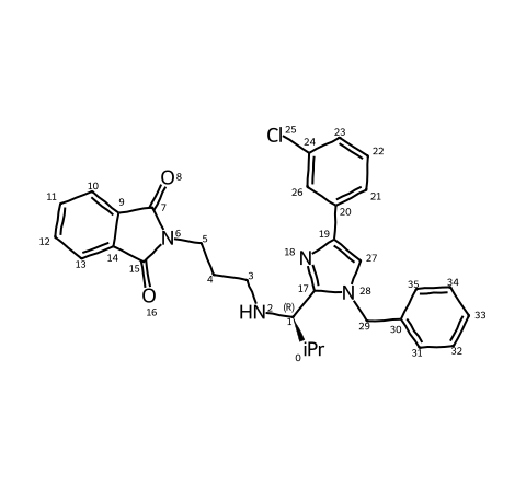 CC(C)[C@@H](NCCCN1C(=O)c2ccccc2C1=O)c1nc(-c2cccc(Cl)c2)cn1Cc1ccccc1